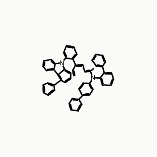 C=C/C(=C\C=C(/C)N(c1ccc(-c2ccccc2)cc1)c1ccccc1-c1ccccc1)c1ccccc1-n1c2ccccc2c2c(-c3ccccc3)cccc21